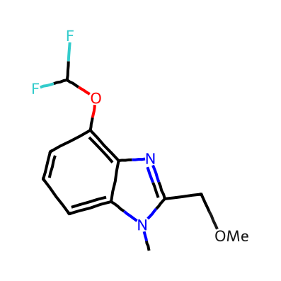 COCc1nc2c(OC(F)F)cccc2n1C